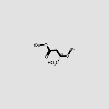 CC(C)O[C@@H](CC(=O)OC(C)(C)C)C(=O)O